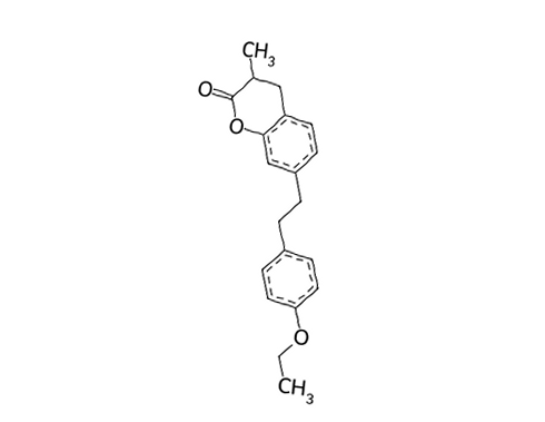 CCOc1ccc(CCc2ccc3c(c2)OC(=O)C(C)C3)cc1